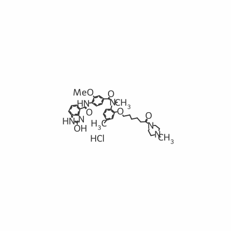 COc1cc(C(=O)N(C)c2ccc(C)cc2OCCCCCC(=O)N2CCN(C)CC2)ccc1NC(=O)c1cccc2[nH]c(O)nc12.Cl